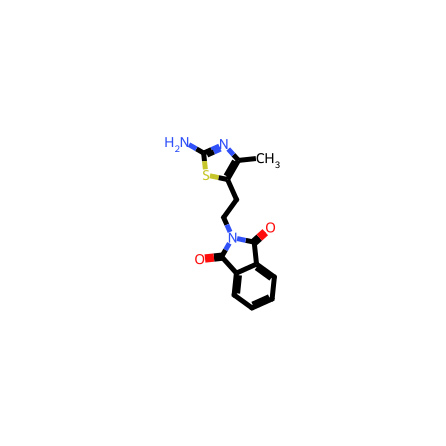 Cc1nc(N)sc1CCN1C(=O)c2ccccc2C1=O